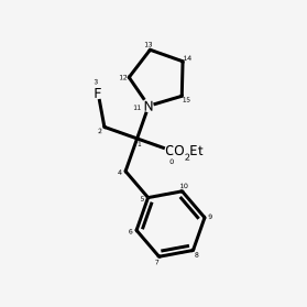 CCOC(=O)C(CF)(Cc1ccccc1)N1CCCC1